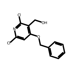 OCc1c(OCc2ccccc2)cc(Cl)nc1Cl